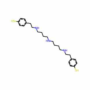 Sc1ccc(CCNCCCCNCCCCNCCc2ccc(S)cc2)cc1